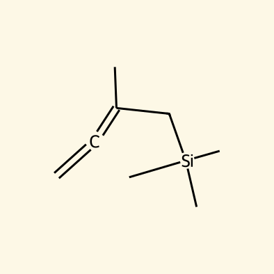 C=C=C(C)C[Si](C)(C)C